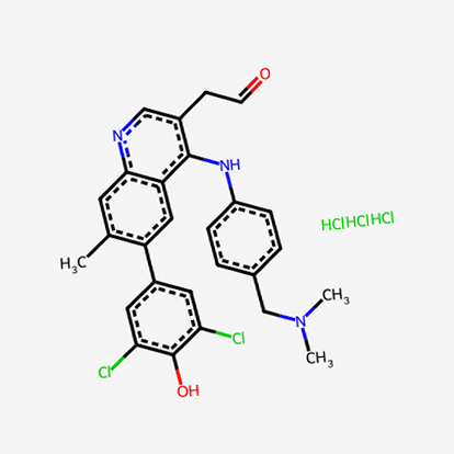 Cc1cc2ncc(CC=O)c(Nc3ccc(CN(C)C)cc3)c2cc1-c1cc(Cl)c(O)c(Cl)c1.Cl.Cl.Cl